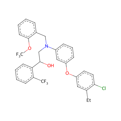 CCc1cc(Oc2cccc(N(Cc3ccccc3OC(F)(F)F)CC(O)c3ccccc3C(F)(F)F)c2)ccc1Cl